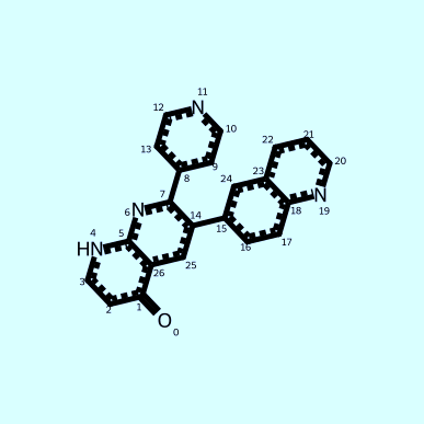 O=c1cc[nH]c2nc(-c3ccncc3)c(-c3ccc4ncccc4c3)cc12